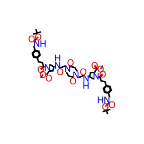 COC(=O)C1CC(NC(=O)CN2CCC(=O)N(CC(=O)NC3CC(C(=O)OC)N(C(=O)CCc4ccc(CNC(=O)OC(C)(C)C)cc4)C3)CCC2=O)CN1C(=O)CCc1ccc(CNC(=O)OC(C)(C)C)cc1